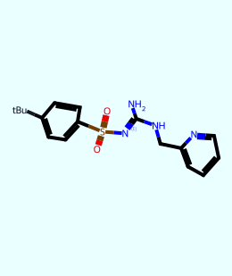 CC(C)(C)c1ccc(S(=O)(=O)/N=C(\N)NCc2ccccn2)cc1